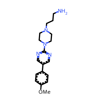 COc1ccc(-c2cnc(N3CCN(CCCN)CC3)nc2)cc1